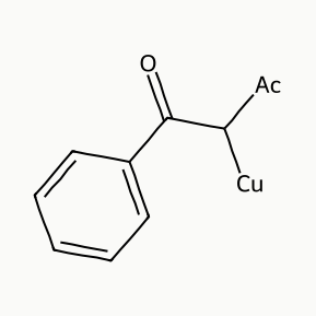 CC(=O)[CH]([Cu])C(=O)c1ccccc1